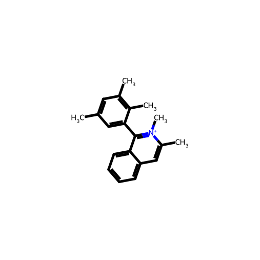 Cc1cc(C)c(C)c(-c2c3ccccc3cc(C)[n+]2C)c1